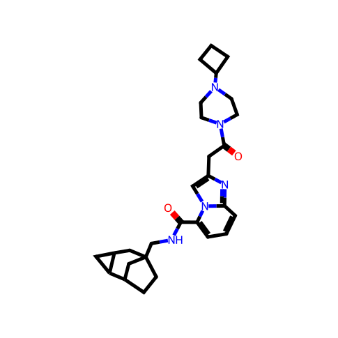 O=C(NCC12CCC(C1)C1CC1C2)c1cccc2nc(CC(=O)N3CCN(C4CCC4)CC3)cn12